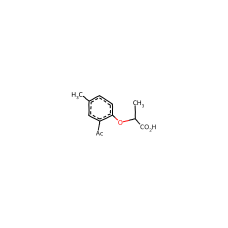 CC(=O)c1cc(C)ccc1OC(C)C(=O)O